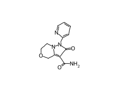 NC(=O)c1c2n(n(-c3ccccn3)c1=O)CCOC2